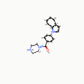 O=C(c1ccc(-n2ccc3cc[c]cc32)cc1)N1CCNCC1